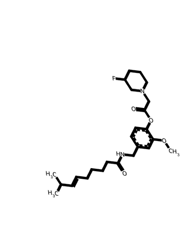 COc1cc(CNC(=O)CCCC/C=C/C(C)C)ccc1OC(=O)CN1CCCC(F)C1